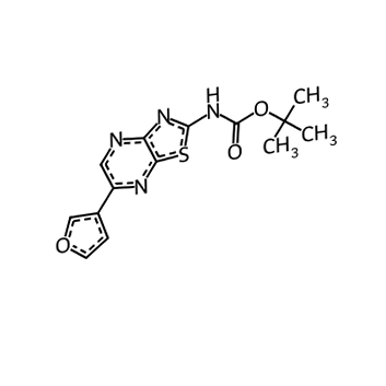 CC(C)(C)OC(=O)Nc1nc2ncc(-c3ccoc3)nc2s1